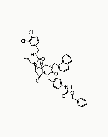 C=CCN(C(=O)NCc1ccc(Cl)c(Cl)c1)N1CC(=O)N2[C@@H](Cc3ccc(NC(=O)OCc4ccccc4)cc3)C(=O)N(Cc3cccc4ccccc34)C[C@@H]21